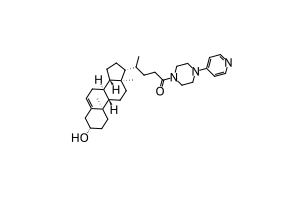 CC(CCC(=O)N1CCN(c2ccncc2)CC1)[C@H]1CC[C@H]2[C@@H]3CC=C4C[C@@H](O)CC[C@]4(C)[C@H]3CC[C@]12C